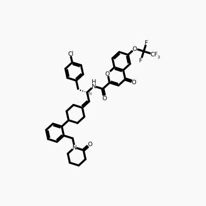 O=C(N[C@H](C=C1CCC(c2ccccc2CN2CCCCC2=O)CC1)Cc1ccc(Cl)cc1)c1cc(=O)c2cc(OC(F)(F)C(F)(F)F)ccc2o1